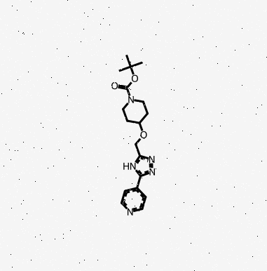 CC(C)(C)OC(=O)N1CCC(OCc2nnc(-c3ccncc3)[nH]2)CC1